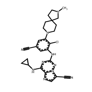 CN1CCC2(CCN(c3cc(C#N)cc(Nc4nc(NC5CC5)c5ncc(C#N)n5n4)c3Cl)CC2)C1